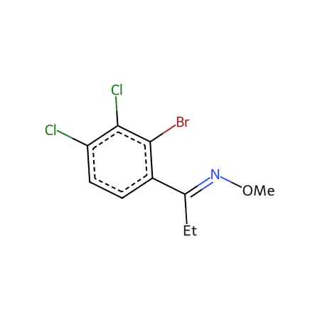 CCC(=NOC)c1ccc(Cl)c(Cl)c1Br